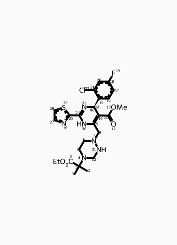 CCOC(=O)C(C)(C)N1CCN(CC2=C(C(=O)OC)[C@H](c3ccc(F)cc3Cl)N=C(c3nccs3)N2)NC1